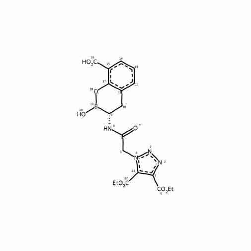 CCOC(=O)c1nnn(CC(=O)N[C@H]2Cc3cccc(C(=O)O)c3OB2O)c1C(=O)OCC